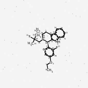 CCOc1cnc([C@@H]2c3[nH]c4ccccc4c3C[C@@H](C)N2CC(C)(C)F)c(F)c1